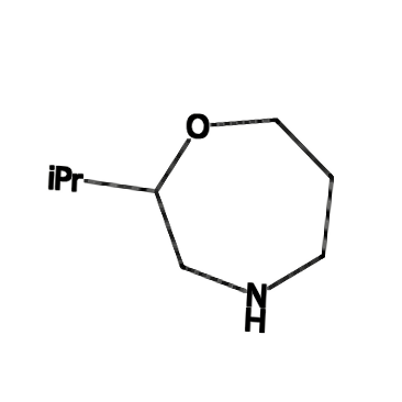 CC(C)C1CNCCCO1